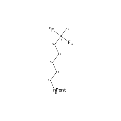 [CH2]CCCCCCCCCC(C)(F)F